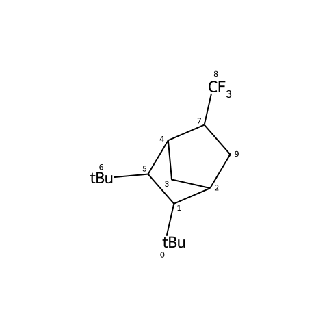 CC(C)(C)C1C2CC(C1C(C)(C)C)C(C(F)(F)F)C2